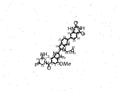 COc1cc(C(=O)N2C[C@H](N)C[C@@H](F)C2)cc2nc(-c3cc4ccc(-c5ccc6c(=O)[nH]c(=O)[nH]c6c5)nc4n3CC3CC3)n(C)c12